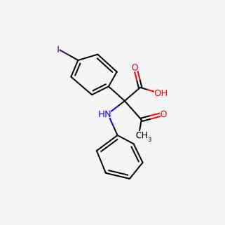 CC(=O)C(Nc1ccccc1)(C(=O)O)c1ccc(I)cc1